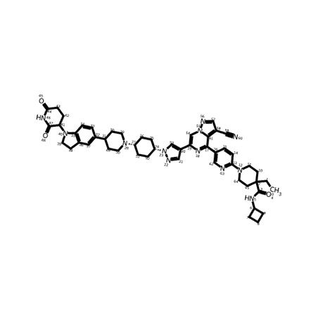 CCC1(C(=O)NC2CCC2)CCN(c2ccc(-c3nc(-c4cnn([C@H]5CC[C@@H](N6CCC(c7ccc8c(c7)CCN8C7CCC(=O)NC7=O)CC6)CC5)c4)cn4ncc(C#N)c34)cn2)CC1